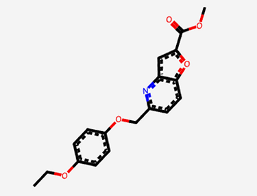 CCOc1ccc(OCc2ccc3oc(C(=O)OC)cc3n2)cc1